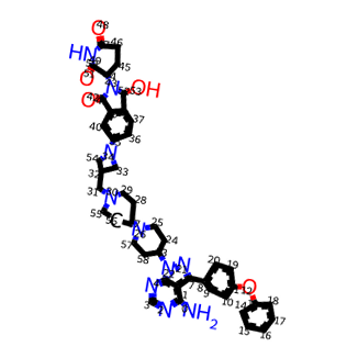 Nc1ncnc2c1c(-c1ccc(Oc3ccccc3)cc1)nn2C1CCN(C2CCN(CC3CN(c4ccc5c(c4)C(=O)N(C4CCC(=O)NC4=O)C5O)C3)CC2)CC1